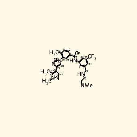 CNCCNCc1cc(NC(=O)c2ccc(C)c(-n3cc(-c4cnn(C)c4C)nn3)c2)cc(C(F)(F)F)c1